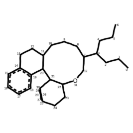 CCCC(CCC)C1CCCC2CCc3ccccc3C2C2C(CCC3CCCCC32)OC1